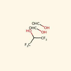 O=CO.O=CO.OC(C(F)(F)F)C(F)(F)F